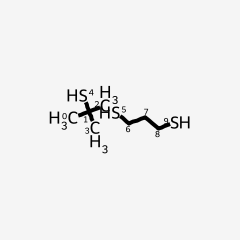 CC(C)(C)S.SCCCS